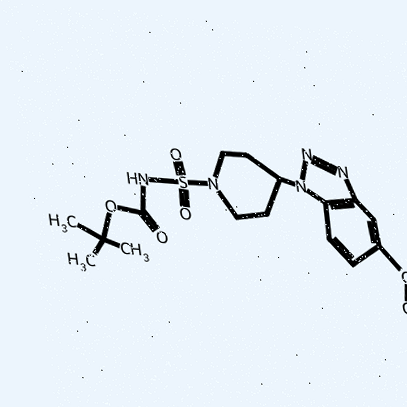 COc1ccc2c(c1)nnn2C1CCN(S(=O)(=O)NC(=O)OC(C)(C)C)CC1